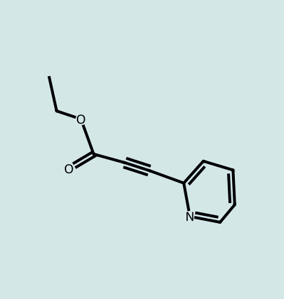 CCOC(=O)C#Cc1ccccn1